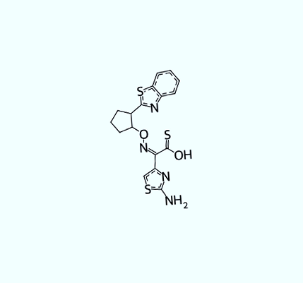 Nc1nc(C(=NOC2CCCC2c2nc3ccccc3s2)C(O)=S)cs1